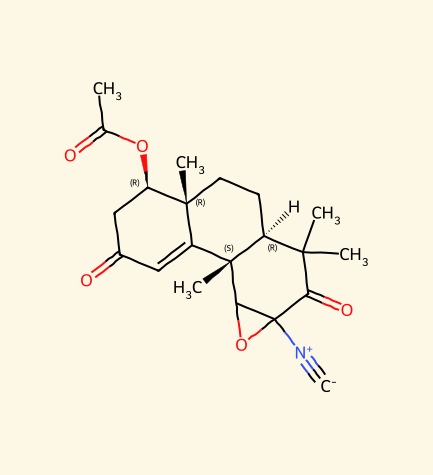 [C-]#[N+]C12OC1[C@]1(C)C3=CC(=O)C[C@@H](OC(C)=O)[C@]3(C)CC[C@H]1C(C)(C)C2=O